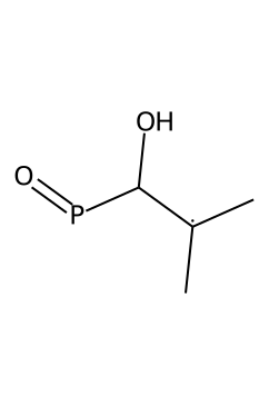 C[C](C)C(O)P=O